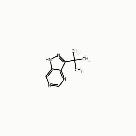 CC(C)(C)c1n[nH]c2cncnc12